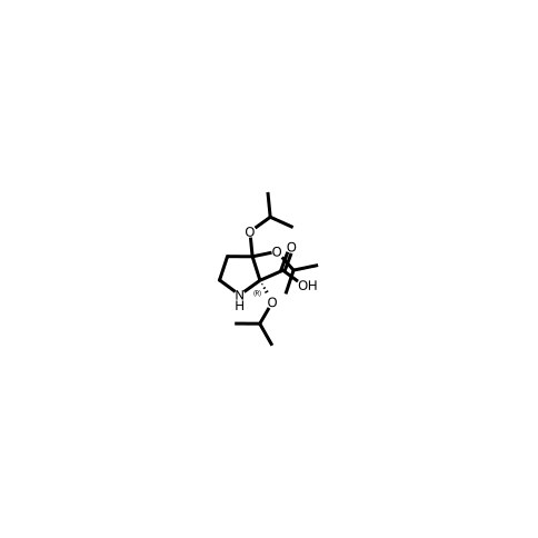 CC(C)OC1(OC(C)C)CCN[C@]1(OC(C)C)C(=O)O